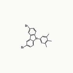 Cc1cc(-n2c3ccc(Br)cc3c3cc(Br)ccc32)cc(C)c1C